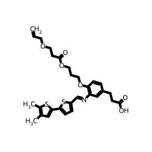 C=CCOCCC(=O)OCCCOc1ccc(CCC(=O)O)cc1/N=C/c1ccc(-c2cc(C)c(C)s2)s1